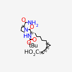 CC(C)(C)OC(=O)N[C@@H](CCCCC[C@H]1C[C@H]1[C@@H]1C[C@@H]1C(=O)O)C(=O)N1CCC[C@H]1C(N)=O